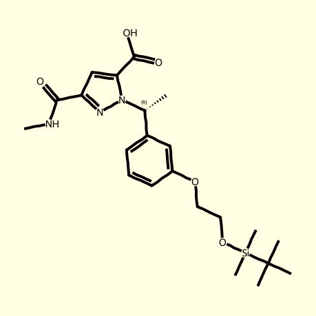 CNC(=O)c1cc(C(=O)O)n([C@H](C)c2cccc(OCCO[Si](C)(C)C(C)(C)C)c2)n1